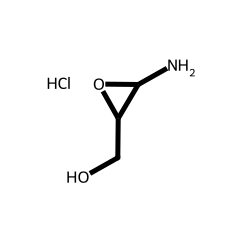 Cl.NC1OC1CO